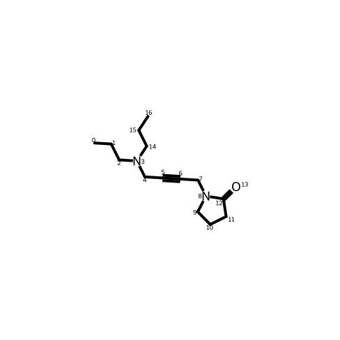 CCCN(CC#CCN1CCCC1=O)CCC